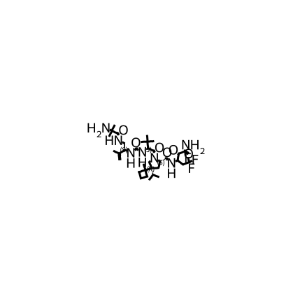 C=C(C)[C@@H](CNC(=O)C(C)(C)N)NC(=O)N[C@H](C(=O)N1C[C@](C(C)C)(C2(C)CCC2)C[C@H]1C(=O)NC(CC(F)(F)F)C(=O)C(N)=O)C(C)(C)C